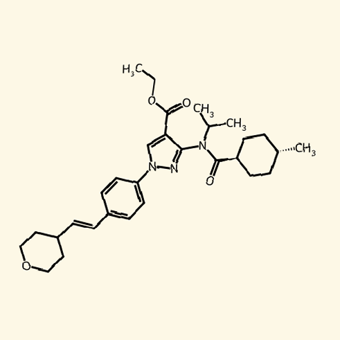 CCOC(=O)c1cn(-c2ccc(C=CC3CCOCC3)cc2)nc1N(C(=O)[C@H]1CC[C@H](C)CC1)C(C)C